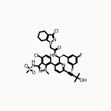 Cn1nc(NS(C)(=O)=O)c2c(Cl)ccc(-c3ccc(C#CC(C)(C)O)nc3[C@H](Cc3cc(F)cc(F)c3)NC(=O)Cn3nc(Cl)c4c3CCCC4)c21